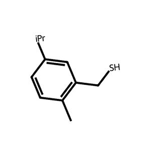 Cc1ccc(C(C)C)cc1CS